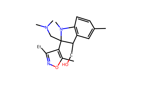 CCc1noc(C)c1C1(CN(C)C)C(CO)c2cc(C)ccc2N1C